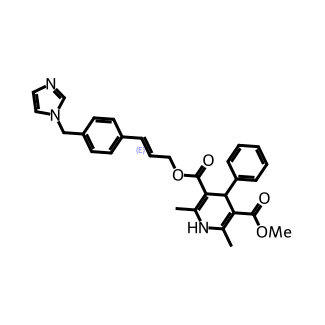 COC(=O)C1=C(C)NC(C)=C(C(=O)OC/C=C/c2ccc(Cn3ccnc3)cc2)C1c1ccccc1